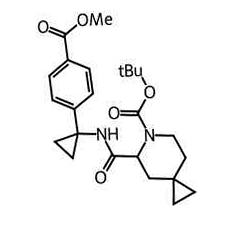 COC(=O)c1ccc(C2(NC(=O)C3CC4(CCN3C(=O)OC(C)(C)C)CC4)CC2)cc1